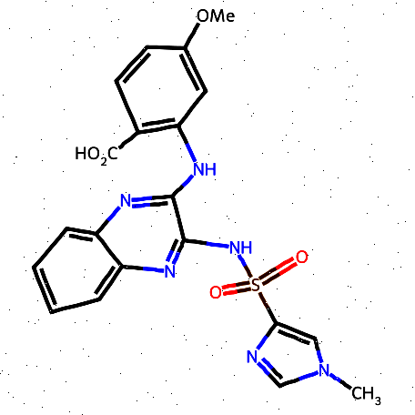 COc1ccc(C(=O)O)c(Nc2nc3ccccc3nc2NS(=O)(=O)c2cn(C)cn2)c1